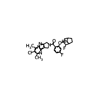 Cc1nc2c3c(nn2c(C)c1Cl)CN(C(=O)c1ccc(F)cc1OC1CC2CCC(N2)C1F)C3